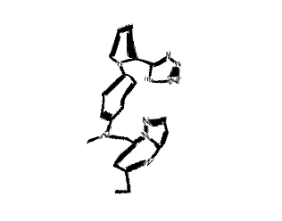 CCc1cc(N(C)c2ccc(-n3cccc3-c3nnn[nH]3)cc2)n2nccc2n1